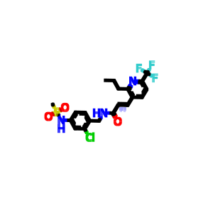 CCCc1nc(C(F)(F)F)ccc1/C=C/C(=O)NCc1ccc(NS(C)(=O)=O)cc1Cl